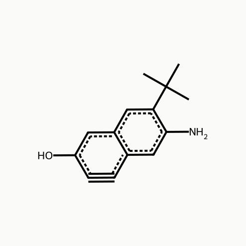 CC(C)(C)c1cc2cc(O)c#cc2cc1N